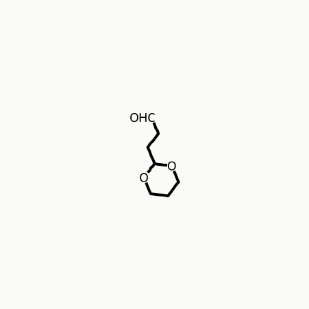 O=CCCC1OCCCO1